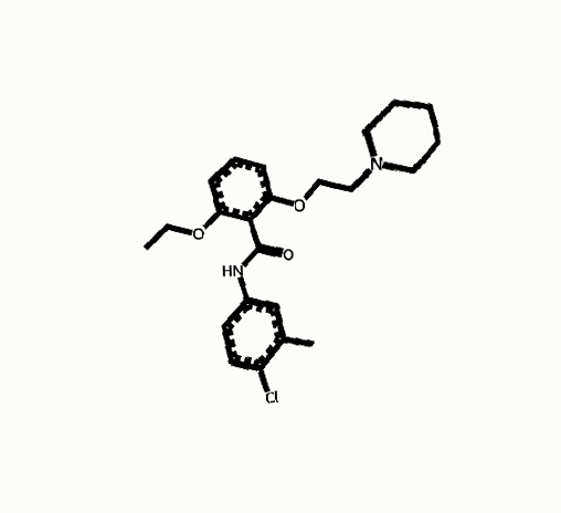 CCOc1cccc(OCCN2CCCCC2)c1C(=O)Nc1ccc(Cl)c(C)c1